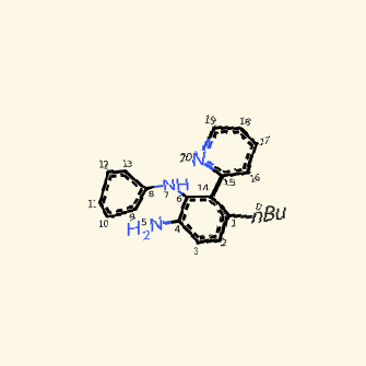 CCCCc1ccc(N)c(Nc2ccccc2)c1-c1ccccn1